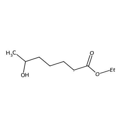 CCOC(=O)[CH]CCCC(C)O